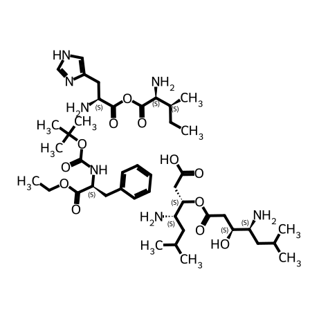 CC(C)C[C@H](N)[C@H](CC(=O)O)OC(=O)C[C@H](O)[C@@H](N)CC(C)C.CCOC(=O)[C@H](Cc1ccccc1)NC(=O)OC(C)(C)C.CC[C@H](C)[C@H](N)C(=O)OC(=O)[C@@H](N)Cc1c[nH]cn1